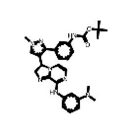 CN(C)c1cccc(NC2=NC=CN3C2=NCC3c2cn(C)nc2-c2cccc(NC(=O)OC(C)(C)C)c2)c1